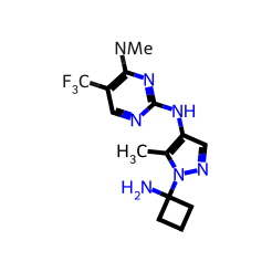 CNc1nc(Nc2cnn(C3(N)CCC3)c2C)ncc1C(F)(F)F